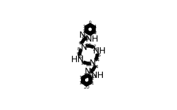 c1ccc2[nH]c(CN3CCNCCN(Cc4nc5ccccc5[nH]4)CCNCC3)nc2c1